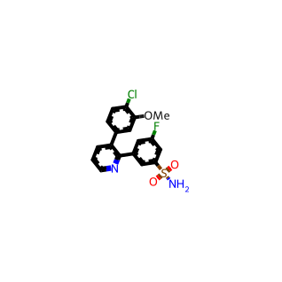 COc1cc(-c2cccnc2-c2cc(F)cc(S(N)(=O)=O)c2)ccc1Cl